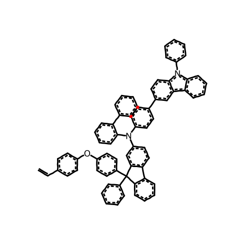 C=Cc1ccc(Oc2ccc(C3(c4ccccc4)c4ccccc4-c4ccc(N(c5ccc(-c6ccc7c(c6)c6ccccc6n7-c6ccccc6)cc5)c5ccccc5-c5ccccc5)cc43)cc2)cc1